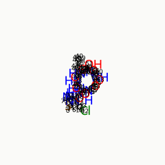 Cc1sc2c(c1C)C(c1ccc(Cl)cc1)=N[C@@H](CC(=O)NC[C@H]1NC(=O)[C@@H](C)NC(=O)[C@@H](Cc3ccc(-c4ccccc4)cc3)NC(=O)[C@@H]3C[C@@H](O)CN3C(=O)[C@H](C(C)(C)C)NC(=O)COCCNC1=O)c1nnc(C)n1-2